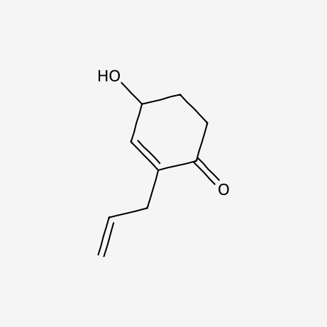 C=CCC1=CC(O)CCC1=O